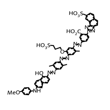 COc1ccc(Nc2ccc3c(O)c(N=Nc4cc(C)c(N=Nc5cc(C)c(N=Nc6ccc(-n7nc8ccc9ccc(S(=O)(=O)O)cc9c8n7)c(C(=O)O)c6)cc5OCCCS(=O)(=O)O)cc4C)ccc3c2)cc1